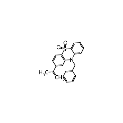 C=C(C)c1ccc2c(c1)N(Cc1ccccc1)c1ccccc1S2(=O)=O